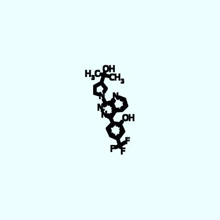 CC(C)(O)C1CCN(c2nnc(-c3ccc(C(F)(F)F)cc3O)c3cccnc23)C1